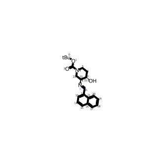 CC(C)(C)OC(=O)N1CC[C@H](O)[C@@H](/N=C/c2cccc3ccccc23)C1